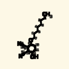 CCCCCCCCOc1ccc(O)c(C#N)c1C#N